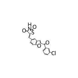 O=C1NC(=O)C(=Cc2ccc3oc(C(=O)c4cccc(Cl)c4)cc3c2)S1